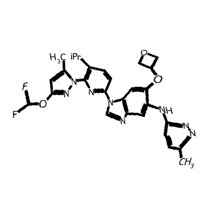 Cc1ccc(Nc2cc3ncn(-c4ccc(C(C)C)c(-n5nc(OC(F)F)cc5C)n4)c3cc2OC2COC2)nn1